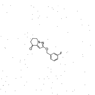 O=C1CCCn2nc(OCc3cccc(F)c3)cc21